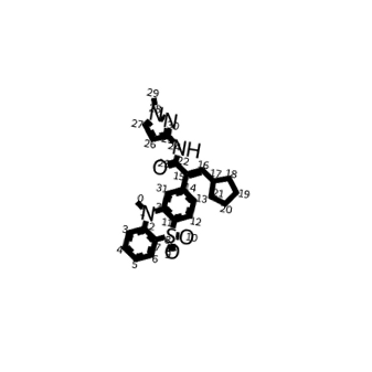 CN1c2ccccc2S(=O)(=O)c2ccc(/C(=C\C3CCCC3)C(=O)Nc3ccn(C)n3)cc21